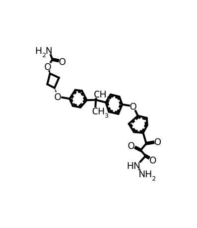 CC(C)(c1ccc(Oc2ccc(C(=O)C(=O)C(=O)NN)cc2)cc1)c1ccc(O[C@H]2C[C@H](OC(N)=O)C2)cc1